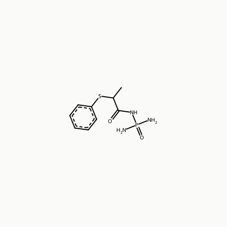 CC(Sc1ccccc1)C(=O)NP(N)(N)=O